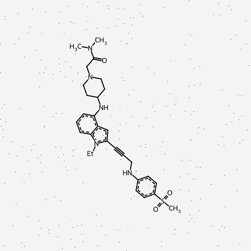 CCn1c(C#CCNc2ccc(S(C)(=O)=O)cc2)cc2c(NC3CCN(CC(=O)N(C)C)CC3)cccc21